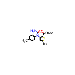 COC(=O)c1sc(C(C)(C)C)cc1N(C(N)=O)c1ccc(C)cc1